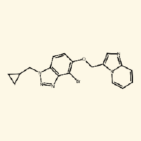 Brc1c(OCc2cnc3ccccn23)ccc2c1nnn2CC1CC1